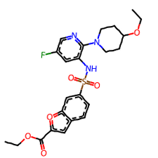 CCOC(=O)c1cc2ccc(S(=O)(=O)Nc3cc(F)cnc3N3CCC(OCC)CC3)cc2o1